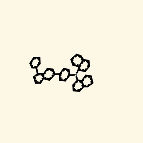 c1ccc(-c2cccc3cc(-c4ccc(N(c5cccc6ccccc56)c5cccc6ccccc56)cc4)ccc23)cc1